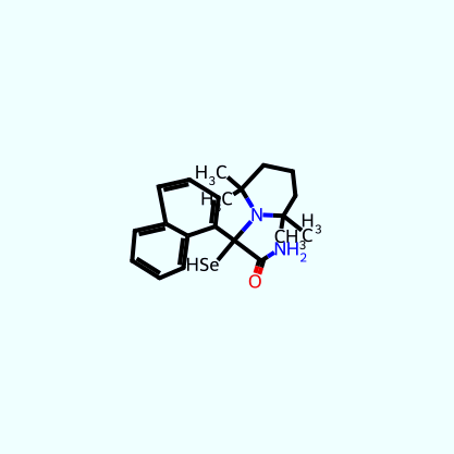 CC1(C)CCCC(C)(C)N1C([SeH])(C(N)=O)c1cccc2ccccc12